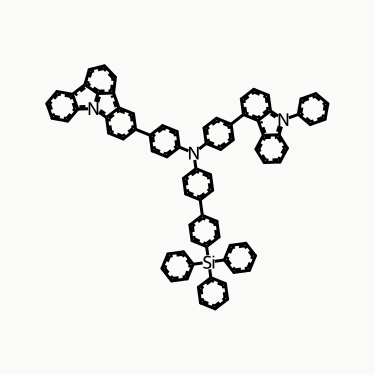 c1ccc(-n2c3ccccc3c3c(-c4ccc(N(c5ccc(-c6ccc([Si](c7ccccc7)(c7ccccc7)c7ccccc7)cc6)cc5)c5ccc(-c6ccc7c(c6)c6cccc8c9ccccc9n7c86)cc5)cc4)cccc32)cc1